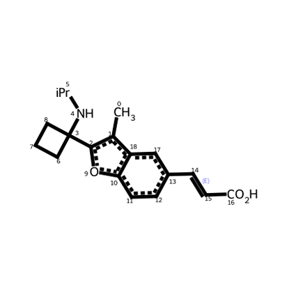 Cc1c(C2(NC(C)C)CCC2)oc2ccc(/C=C/C(=O)O)cc12